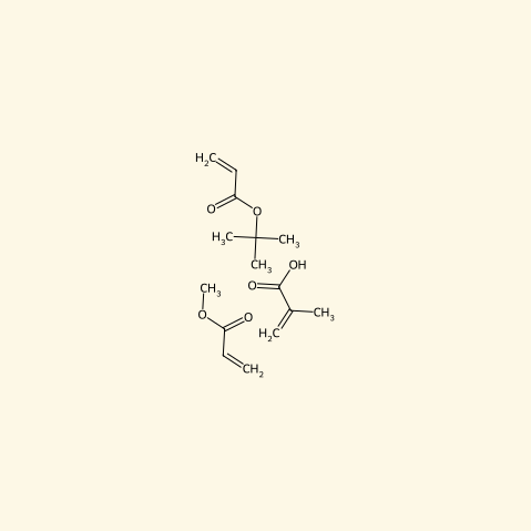 C=C(C)C(=O)O.C=CC(=O)OC.C=CC(=O)OC(C)(C)C